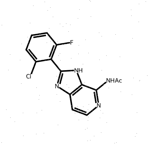 CC(=O)Nc1nccc2nc(-c3c(F)cccc3Cl)[nH]c12